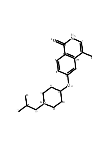 Cc1c[nH]c(=O)c2ccc(OC3CCN(CC(C)C)CC3)cc12